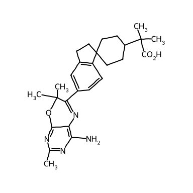 Cc1nc(N)c2c(n1)OC(C)(C)C(c1ccc3c(c1)CCC31CCC(C(C)(C)C(=O)O)CC1)=N2